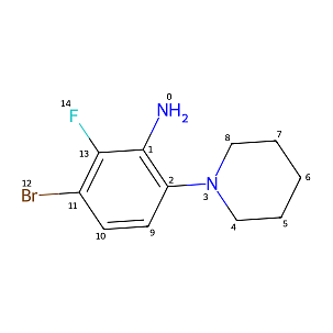 Nc1c(N2CCCCC2)ccc(Br)c1F